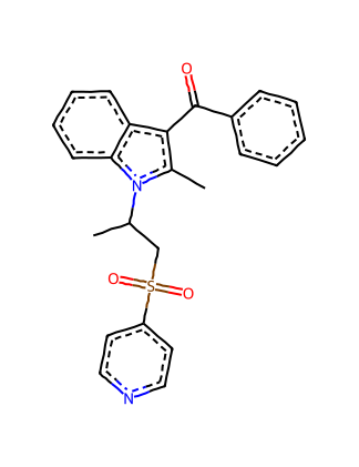 Cc1c(C(=O)c2ccccc2)c2ccccc2n1C(C)CS(=O)(=O)c1ccncc1